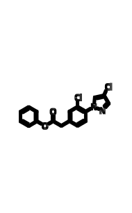 O=C(Cc1ccc(-n2cc(Cl)cn2)c(Cl)c1)Oc1ccccc1